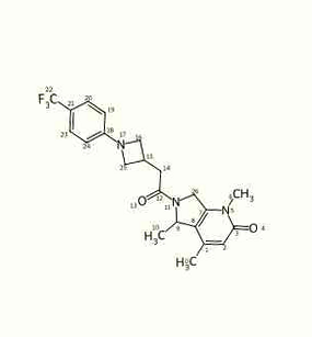 Cc1cc(=O)n(C)c2c1C(C)N(C(=O)CC1CN(c3ccc(C(F)(F)F)cc3)C1)C2